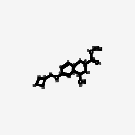 CC(C)(C)OC(=O)N1Cc2ccc(OCC3CCC3)cc2C(O)C1